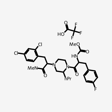 CCCC1CN(C(Cc2ccc(Cl)cc2Cl)C(=O)NC)CCN1C(=O)C(Cc1ccc(F)cc1)NC(=O)OC.O=C(O)C(F)(F)F